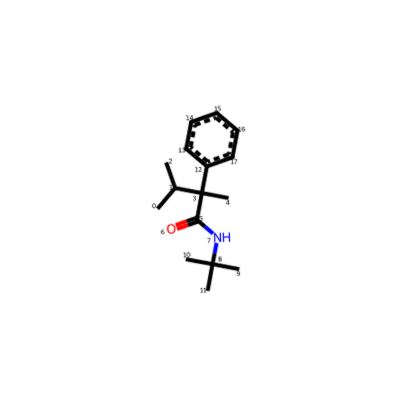 CC(C)C(C)(C(=O)NC(C)(C)C)c1ccccc1